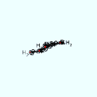 C=CC(=O)OCCCCOc1ccc(CCC(=O)Oc2ccc(OC(=O)CCc3ccc(OCCCCOC(=O)C=C)cc3F)c(C(F)(F)F)c2C)c(F)c1